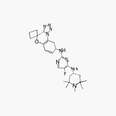 CN1C(C)(C)CC(Nc2nc(NC3C=CC4=C(C3)n3nnnc3C3(CCC3)O4)ncc2F)CC1(C)C